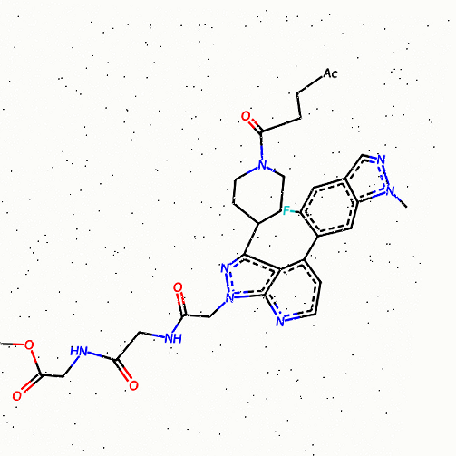 CC(=O)CCC(=O)N1CCC(c2nn(CC(=O)NCC(=O)NCC(=O)OC(C)(C)C)c3nccc(-c4cc5c(cnn5C)cc4F)c23)CC1